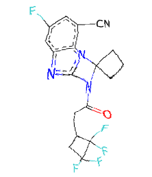 N#Cc1cc(F)cc2nc3n(c12)C1(CCC1)N3C(=O)CC1CC(F)(F)C1(F)F